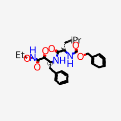 CCONC(=O)C(=O)[C@H](Cc1ccccc1)NC(=O)[C@H](CC(C)C)NC(=O)OCC1=CCC=C=C1